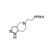 CCCCCCCCN1CCc2[nH]ncc2C1